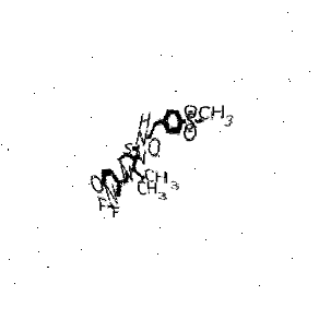 CCS(=O)(=O)c1ccc(CC(=O)Nc2nc3c(s2)CN(Cc2ccc(=O)n(C(F)F)c2)C3C(C)C)cc1